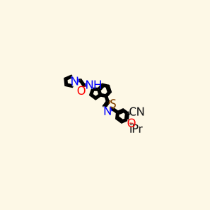 CC(C)Oc1ccc(-c2ncc(C3C=CC=C4C(NC(=O)CN5CCCC5)CCC43)s2)cc1C#N